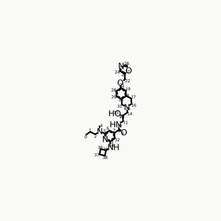 CCCN(C)c1cc(C(=O)NC[C@H](O)CN2CCc3cc(OCc4cnco4)ccc3C2)cc(NC2CCC2)n1